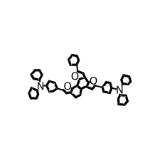 c1ccc(-c2cc3c4oc(-c5ccc(N(c6ccccc6)c6ccccc6)cc5)cc4c4ccc5cc(-c6ccc(N(c7ccccc7)c7ccccc7)cc6)oc5c4c3o2)cc1